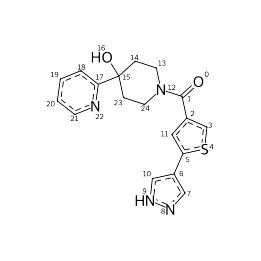 O=C(c1csc(-c2cn[nH]c2)c1)N1CCC(O)(c2ccccn2)CC1